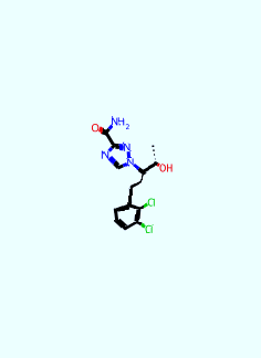 C[C@H](O)[C@@H](CCc1cccc(Cl)c1Cl)n1cnc(C(N)=O)n1